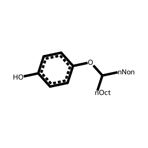 CCCCCCCCCC(CCCCCCCC)Oc1ccc(O)cc1